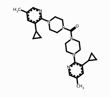 Cc1cnc(N2CCN(C(=O)N3CCN(c4ncc(C)cc4C4CC4)CC3)CC2)c(C2CC2)c1